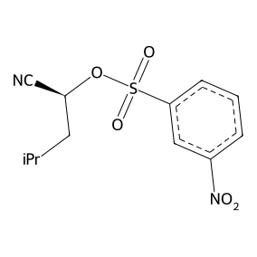 CC(C)C[C@@H](C#N)OS(=O)(=O)c1cccc([N+](=O)[O-])c1